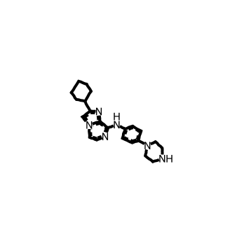 c1cn2cc(C3CCCCC3)nc2c(Nc2ccc(N3CCNCC3)cc2)n1